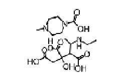 CCNC(C)C(C(=O)O)C(O)(CC(=O)O)C(=O)O.CN1CCN(C(=O)O)CC1